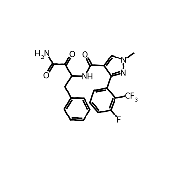 Cn1cc(C(=O)NC(Cc2ccccc2)C(=O)C(N)=O)c(-c2cccc(F)c2C(F)(F)F)n1